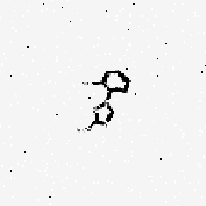 Cc1ncn(-c2ccccc2C#N)n1